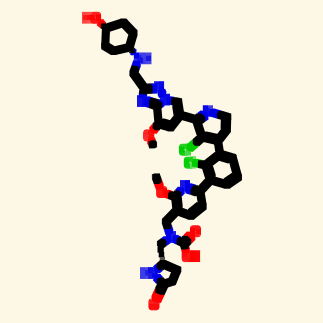 COc1nc(-c2cccc(-c3ccnc(-c4cc(OC)c5nc(CN[C@H]6CC[C@H](O)CC6)nn5c4)c3Cl)c2Cl)ccc1CN(C[C@@H]1CCC(=O)N1)C(=O)O